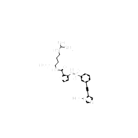 Cn1cncc1C#Cc1cccc(S(=O)(=O)Nc2ccsc2C(=O)N[C@@H](CCCNC(N)N)C(=O)O)c1